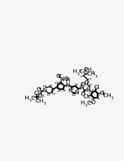 COc1cc(OC)c(Cl)c(N(COCC[Si](C)(C)C)C(=O)N(C)c2cc(Nc3ccc(C4=CCN(C(=O)OC(C)(C)C)CC4)cc3[N+](=O)[O-])ncn2)c1Cl